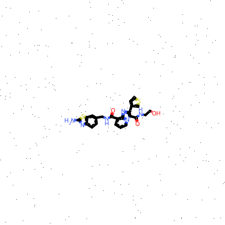 Nc1nc2ccc(CNC(=O)c3cccn4c(C(=O)NCCO)c(-c5ccsc5)nc34)cc2s1